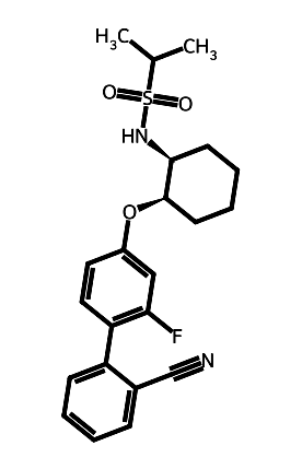 CC(C)S(=O)(=O)N[C@H]1CCCC[C@H]1Oc1ccc(-c2ccccc2C#N)c(F)c1